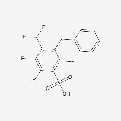 O=S(=O)(O)c1c(F)c(F)c(C(F)F)c(Cc2ccccc2)c1F